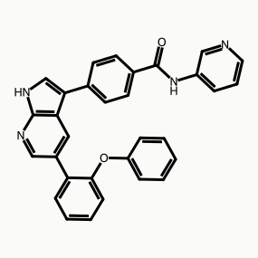 O=C(Nc1cccnc1)c1ccc(-c2c[nH]c3ncc(-c4ccccc4Oc4ccccc4)cc23)cc1